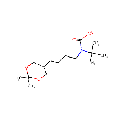 CC1(C)OCC(CCCCN(C(=O)O)C(C)(C)C)CO1